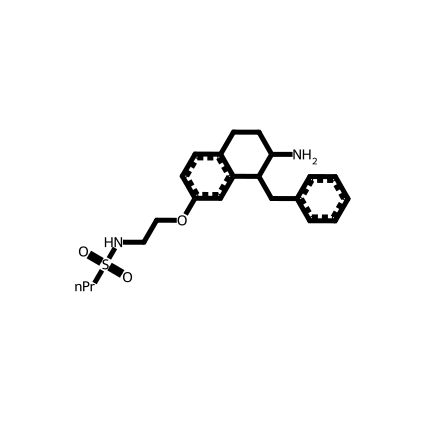 CCCS(=O)(=O)NCCOc1ccc2c(c1)C(Cc1ccccc1)C(N)CC2